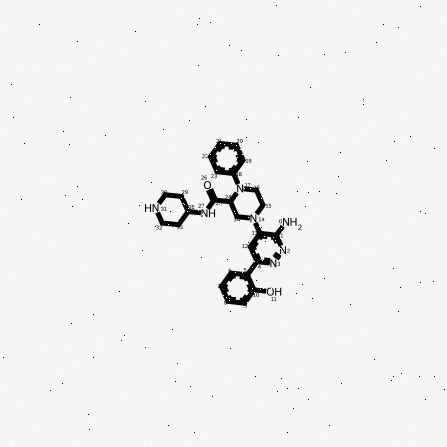 Nc1nnc(-c2ccccc2O)cc1N1CCN(c2ccccc2)C(C(=O)NC2CCNCC2)C1